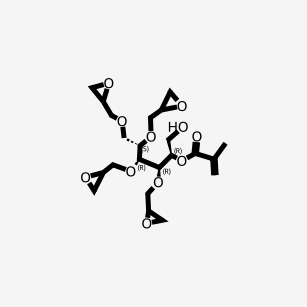 C=C(C)C(=O)O[C@H](CO)[C@@H](OCC1CO1)[C@H](OCC1CO1)[C@H](COCC1CO1)OCC1CO1